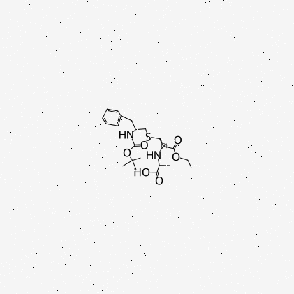 CCOC(=O)[C@H](CSCC(Cc1ccccc1)NC(=O)OC(C)(C)C)NC(C)C(=O)O